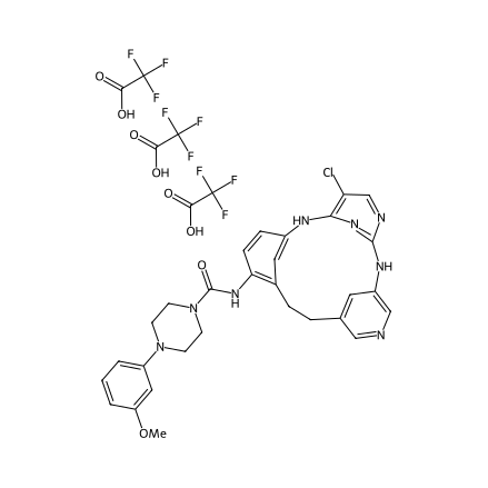 COc1cccc(N2CCN(C(=O)Nc3ccc4cc3CCc3cncc(c3)Nc3ncc(Cl)c(n3)N4)CC2)c1.O=C(O)C(F)(F)F.O=C(O)C(F)(F)F.O=C(O)C(F)(F)F